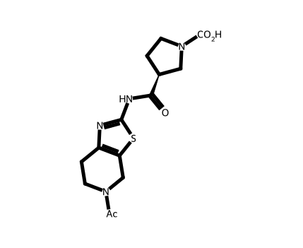 CC(=O)N1CCc2nc(NC(=O)[C@H]3CCN(C(=O)O)C3)sc2C1